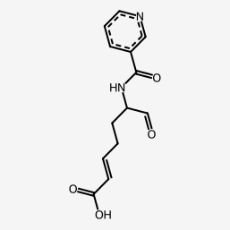 O=CC(CCC=CC(=O)O)NC(=O)c1cccnc1